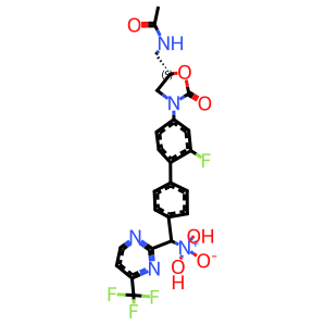 CC(=O)NC[C@H]1CN(c2ccc(-c3ccc(C(c4nccc(C(F)(F)F)n4)[N+]([O-])(O)O)cc3)c(F)c2)C(=O)O1